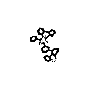 c1ccc(-c2nc(-c3cccc(-c4cccc5c4-c4ccccc4OC5)c3)nc(-c3ccccc3-c3ccccc3)n2)cc1